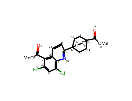 COC(=O)c1c(Br)cc(Cl)c2nc(C34CCC(C(=O)OC)(CC3)CC4)ccc12